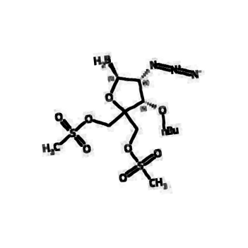 B[C@@H]1OC(COS(C)(=O)=O)(COS(C)(=O)=O)[C@@H](OCCCC)[C@H]1N=[N+]=[N-]